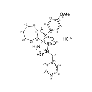 COc1ccc(S(=O)(=O)[C@@](N)(C(=O)N(O)Cc2ccncc2)C2CCCOCC2)cc1.Cl